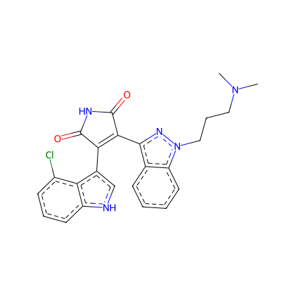 CN(C)CCCn1nc(C2=C(c3c[nH]c4cccc(Cl)c34)C(=O)NC2=O)c2ccccc21